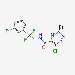 CCc1ncc(Cl)c(C(=O)NCC(F)(F)c2cccc(F)c2)n1